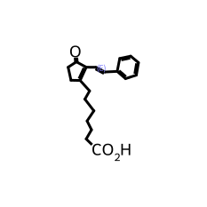 O=C(O)CCCCCCC1=C(/C=C/c2ccccc2)C(=O)CC1